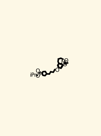 CC(C)OC(=O)N1CCC(CCCCOc2ccc3c(c2)CCCCN3S(C)(=O)=O)CC1